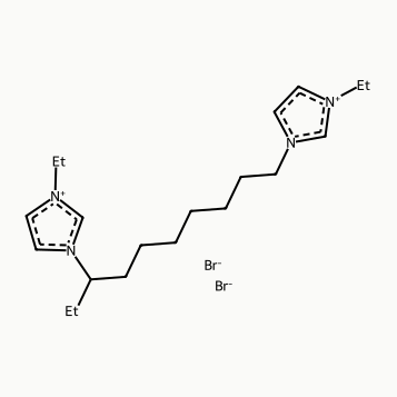 CCC(CCCCCCCn1cc[n+](CC)c1)n1cc[n+](CC)c1.[Br-].[Br-]